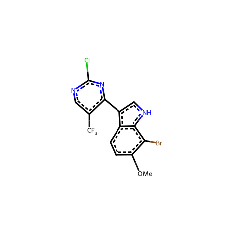 COc1ccc2c(-c3nc(Cl)ncc3C(F)(F)F)c[nH]c2c1Br